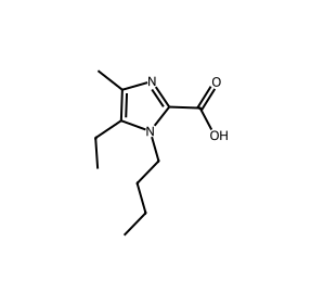 CCCCn1c(C(=O)O)nc(C)c1CC